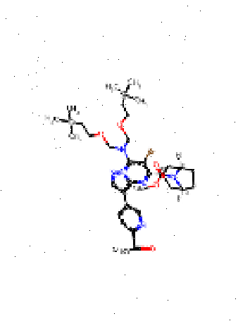 COC(=O)c1ccc(-c2cnn3c(N(COCC[Si](C)(C)C)COCC[Si](C)(C)C)c(Br)c([C@@H]4C[C@H]5CC[C@@H](C4)N5C(=O)OC(C)(C)C)nc23)cn1